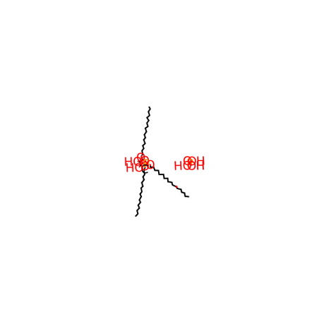 CCCCCCCCCCCCCCCCCCOC(OP(OCCCCCCCCCCCCCCCCCC)OCCCCCCCCCCCCCCCCCC)C(O)CO.O=P(O)(O)O